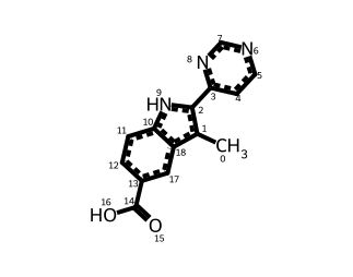 Cc1c(-c2ccncn2)[nH]c2ccc(C(=O)O)cc12